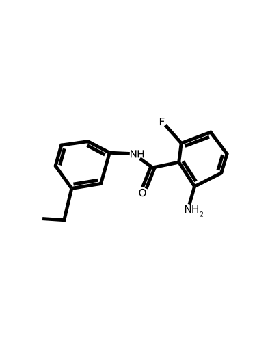 CCc1cccc(NC(=O)c2c(N)cccc2F)c1